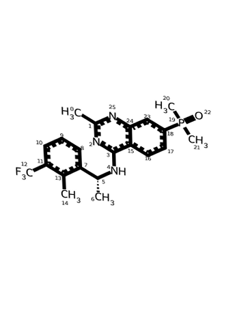 Cc1nc(N[C@H](C)c2cccc(C(F)(F)F)c2C)c2ccc(P(C)(C)=O)cc2n1